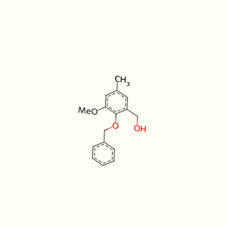 COc1cc(C)cc(CO)c1OCc1ccccc1